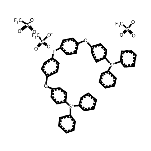 O=S(=O)([O-])C(F)(F)F.O=S(=O)([O-])C(F)(F)F.O=S(=O)([O-])C(F)(F)F.c1ccc([S+](c2ccccc2)c2ccc(Oc3ccc([I+]c4ccc(Oc5ccc([S+](c6ccccc6)c6ccccc6)cc5)cc4)cc3)cc2)cc1